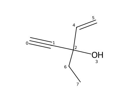 C#CC(O)(C=C)CC